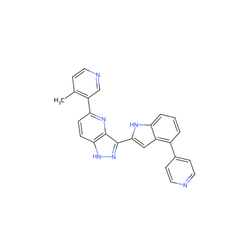 Cc1ccncc1-c1ccc2[nH]nc(-c3cc4c(-c5ccncc5)cccc4[nH]3)c2n1